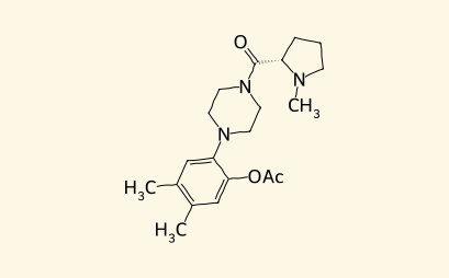 CC(=O)Oc1cc(C)c(C)cc1N1CCN(C(=O)[C@@H]2CCCN2C)CC1